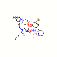 CCCCC(=O)N1CC(C)(c2c[nH]cn2)C(CC)C(=S(=O)=O)C1(N)C(=O)Oc1cc(Br)cc(-c2ccccn2)c1NC(=O)CC